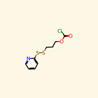 O=C(Cl)OCCCSSc1ccccn1